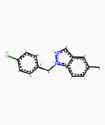 Cc1ccc2c(cnn2Cc2ccc(Cl)cc2)c1